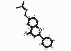 CC(C)=CCc1ccc2oc(-c3ccccc3)cc(=O)c2c1